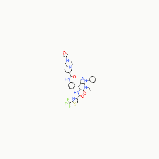 C/C=C(\CN1CCN(C2COC2)CC1)C(=O)Nc1cccc([C@@H]2c3cnn(-c4ccccc4)c3N(CC)C(=O)[C@H]2NC(=O)c2csc(C(F)(F)F)n2)c1